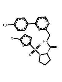 O=C(NCc1nccc(-c2ccc(C(F)(F)F)cc2)n1)[C@@H]1CCCN1S(=O)(=O)c1ccc(Cl)s1